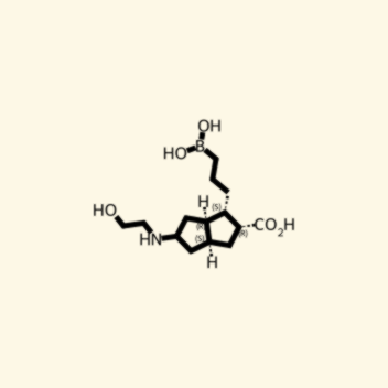 O=C(O)[C@@H]1C[C@H]2CC(NCCO)C[C@H]2[C@@H]1CCCB(O)O